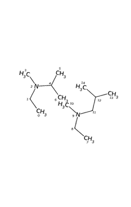 CCN(C)C(C)C.CCN(C)CC(C)C